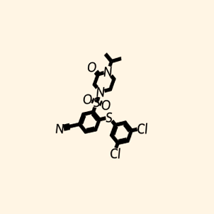 CC(C)N1CCN(S(=O)(=O)c2cc(C#N)ccc2Sc2cc(Cl)cc(Cl)c2)CC1=O